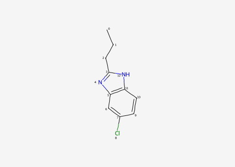 CCCc1nc2cc(Cl)ccc2[nH]1